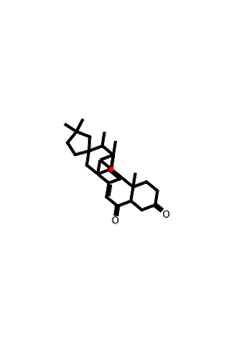 CC1C=C2C(=CC(=O)C3CC(=O)CCC23C)C23CC(C(C)C4(CCC(C)(C)C4)C2)C13